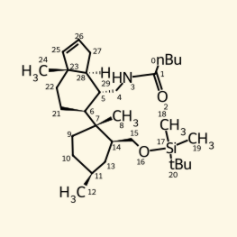 CCCCC(=O)NC[C@@H]1[C@@H]([C@@]2(C)CC[C@H](C)C[C@@H]2CO[Si](C)(C)C(C)(C)C)CC[C@]2(C)C=CC[C@@H]12